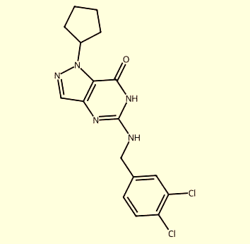 O=c1[nH]c(NCc2ccc(Cl)c(Cl)c2)nc2cnn(C3CCCC3)c12